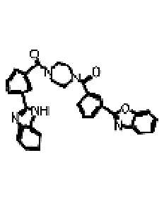 O=C(c1cccc(-c2nc3ccccc3[nH]2)c1)N1CCN(C(=O)c2cccc(-c3nc4ccccc4o3)c2)CC1